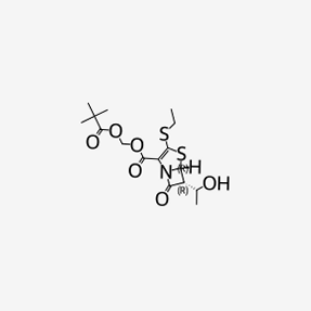 CCSC1=C(C(=O)OCOC(=O)C(C)(C)C)N2C(=O)[C@@H](C(C)O)[C@H]2S1